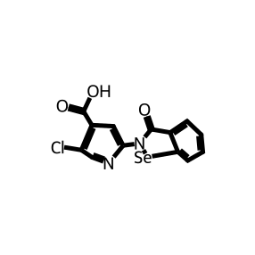 O=C(O)c1cc(-n2[se]c3ccccc3c2=O)ncc1Cl